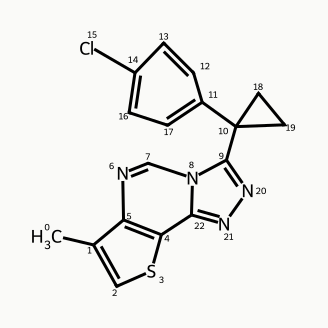 Cc1csc2c1ncn1c(C3(c4ccc(Cl)cc4)CC3)nnc21